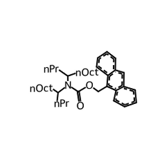 CCCCCCCCC(CCC)N(C(=O)OCc1c2ccccc2cc2ccccc12)C(CCC)CCCCCCCC